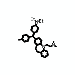 CC[N+](CC)=C1C=CC(=C(c2ccc(C)cc2)c2ccc3c(c2)CCc2ccccc2N3CCN(C)C)C=C1